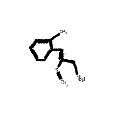 C=N/C(=C\c1ccccc1C)CC(C)(C)C